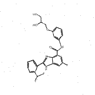 O=C(Nc1cccc(OCC(O)CO)c1)c1cc(F)cc2[nH]c(-c3ccccc3C(F)F)nc12